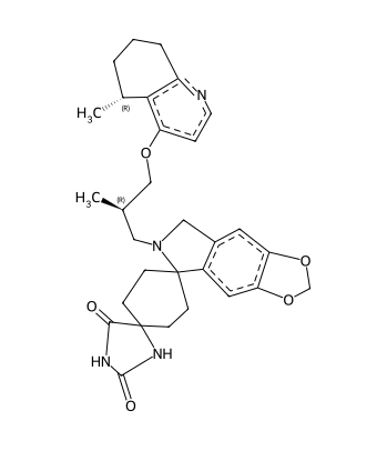 C[C@@H](COc1ccnc2c1[C@H](C)CCC2)CN1Cc2cc3c(cc2C12CCC1(CC2)NC(=O)NC1=O)OCO3